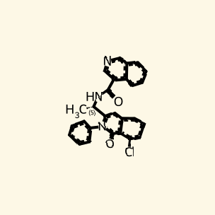 C[C@H](NC(=O)c1cncc2ccccc12)c1cc2cccc(Cl)c2c(=O)n1-c1ccccc1